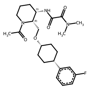 CC(=O)N1CCC[C@H](NC(=O)C(=O)N(C)C)[C@@H]1CO[C@H]1CC[C@@H](c2cccc(F)c2)CC1